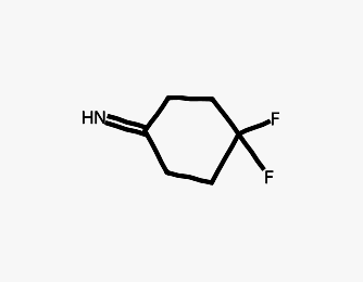 N=C1CCC(F)(F)CC1